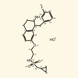 Cl.NC1CCc2ccc(OCCNS(=O)(=O)CC3CC3)cc2C1Cc1cccc(F)c1